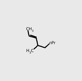 CC=CC(C)CCCC